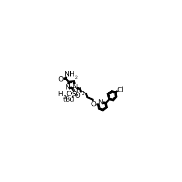 CC(C)(C)[Si](C)(C)O[C@@H](CCCOc1cccc(-c2ccc(Cl)cc2)n1)Cn1cnc(C(N)=O)c1